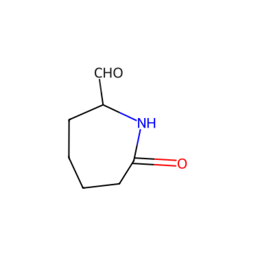 O=CC1CCCCC(=O)N1